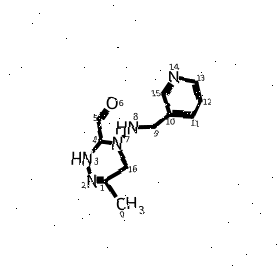 CC1=NNC(C=O)N(NCc2cccnc2)C1